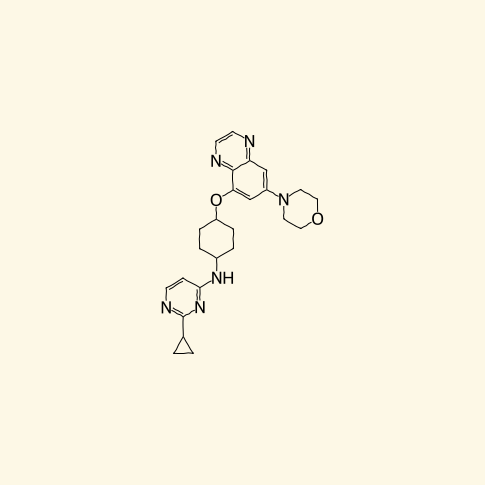 c1cc(NC2CCC(Oc3cc(N4CCOCC4)cc4nccnc34)CC2)nc(C2CC2)n1